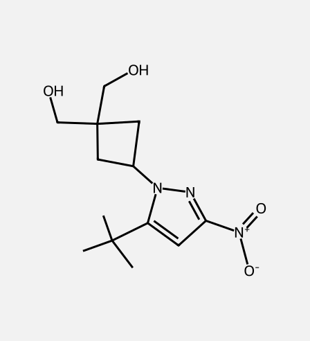 CC(C)(C)c1cc([N+](=O)[O-])nn1C1CC(CO)(CO)C1